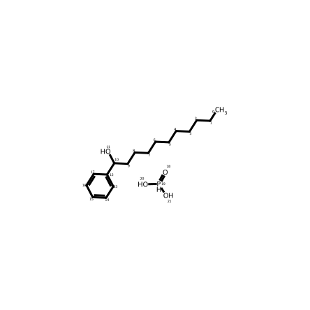 CCCCCCCCCCC(O)c1ccccc1.O=[PH](O)O